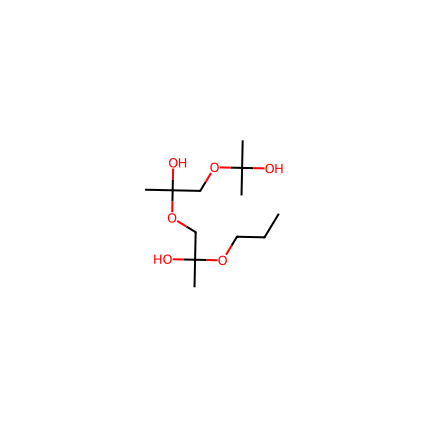 CCCOC(C)(O)COC(C)(O)COC(C)(C)O